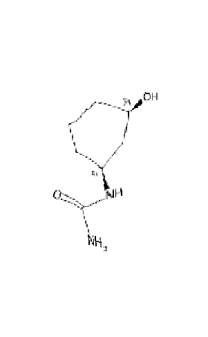 NC(=O)N[C@H]1CCC[C@@H](O)C1